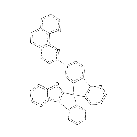 c1ccc2c(c1)-c1ccc(-c3ccc4ccc5cccnc5c4n3)cc1C21c2ccccc2-c2c1oc1ccccc21